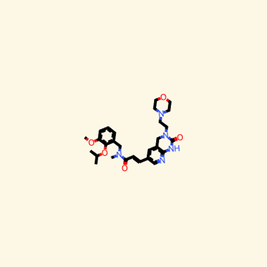 COc1cccc(CN(C)C(=O)C=Cc2cnc3c(c2)CN(CCN2CCOCC2)C(=O)N3)c1OC(C)C